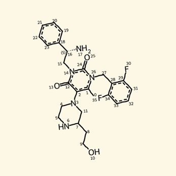 Cc1c(N2CCNC(CCO)C2)c(=O)n(C[C@@H](N)c2ccccc2)c(=O)n1Cc1c(F)cccc1F